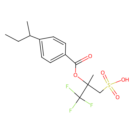 CCC(C)c1ccc(C(=O)OC(C)(CS(=O)(=O)O)C(F)(F)F)cc1